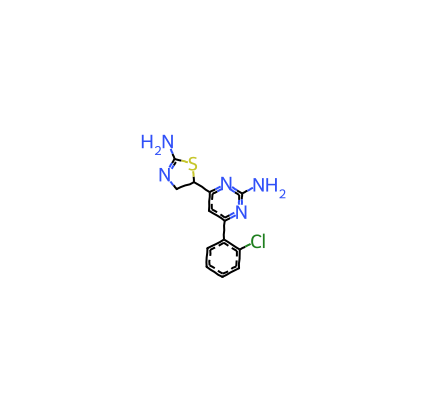 NC1=NCC(c2cc(-c3ccccc3Cl)nc(N)n2)S1